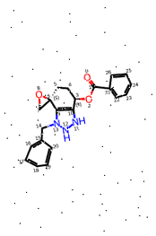 O=C(O[C@@H]1CC[C@@]2(CO2)C2=C1NNN2Cc1ccccc1)c1ccccc1